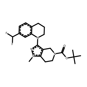 Cn1nc(N2CCCc3ccc(C(F)F)cc32)c2c1CCN(C(=O)OC(C)(C)C)C2